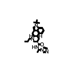 CCCN1C[C@H](C(=O)NC(C)n2ccnc2)C[C@@H]2c3cccc4c3c(cn4C(C)(C)C)C[C@H]21